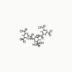 O=C(Cl)c1cc(C(=O)Cl)cc(C(=O)Nc2cc(NC(=O)c3cc(C(=O)Cl)cc(C(=O)Cl)c3)cc(P(=O)(O)O)c2)c1